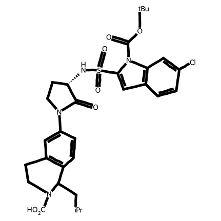 CC(C)CC1c2ccc(N3CC[C@H](NS(=O)(=O)c4cc5ccc(Cl)cc5n4C(=O)OC(C)(C)C)C3=O)cc2CCN1C(=O)O